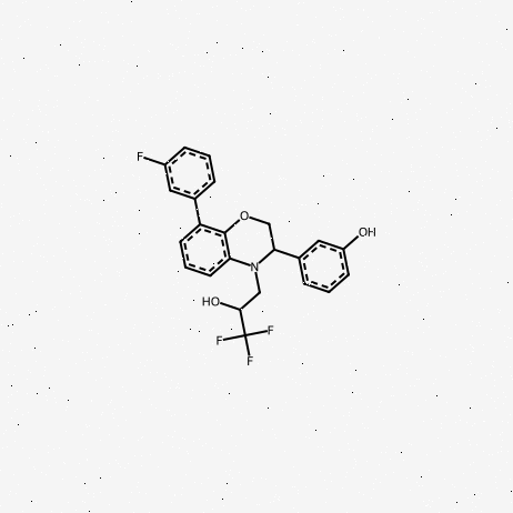 Oc1cccc(C2COc3c(-c4cccc(F)c4)cccc3N2CC(O)C(F)(F)F)c1